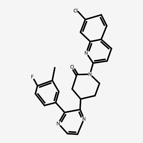 Cc1cc(-c2nccnc2C2CCN(c3ccc4ccc(Cl)cc4n3)C(=O)C2)ccc1F